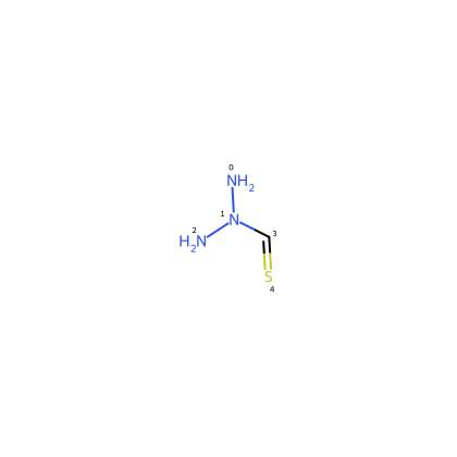 NN(N)C=S